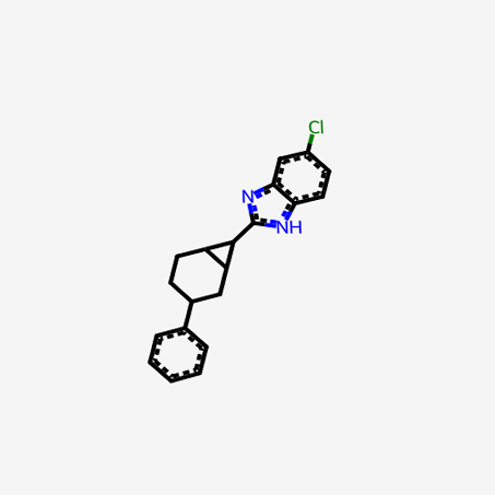 Clc1ccc2[nH]c(C3C4CCC(c5ccccc5)CC43)nc2c1